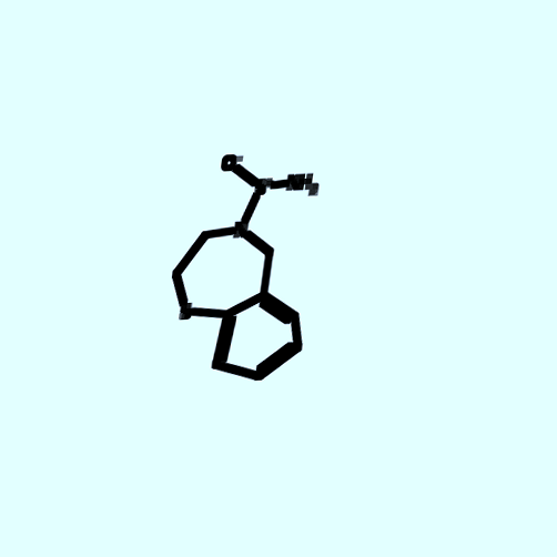 N[S+]([O-])N1CCSc2ccccc2C1